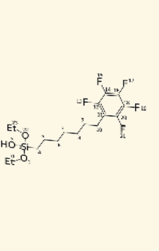 CCO[Si](O)(CCCCCCCc1c(F)c(F)c(F)c(F)c1F)OCC